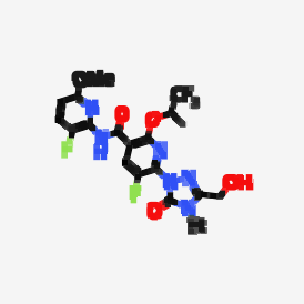 CCn1c(CO)nn(-c2nc(OC(C)C(F)(F)F)c(C(=O)Nc3nc(OC)ccc3F)cc2F)c1=O